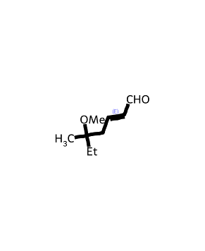 CCC(C)(C/C=C/C=O)OC